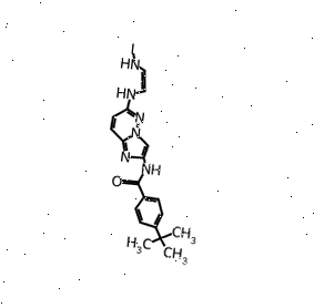 CC(C)(C)c1ccc(C(=O)Nc2cn3nc(N/C=C\NI)ccc3n2)cc1